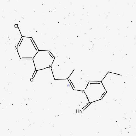 CCc1ccc(=N)n(/C=C(\C)Cn2ccc3cc(Cl)ncc3c2=O)c1